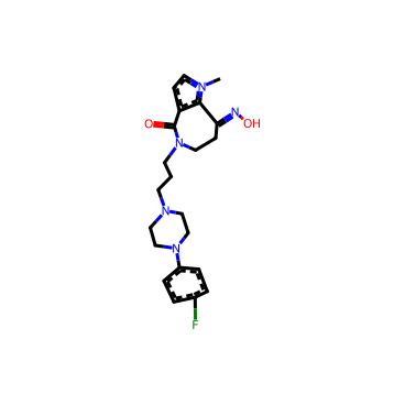 Cn1ccc2c1C(=NO)CCN(CCCN1CCN(c3ccc(F)cc3)CC1)C2=O